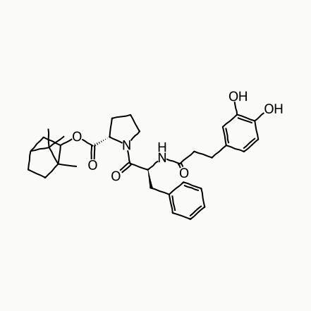 CC1(C)C2CCC1(C)C(OC(=O)[C@@H]1CCCN1C(=O)[C@H](Cc1ccccc1)NC(=O)CCc1ccc(O)c(O)c1)C2